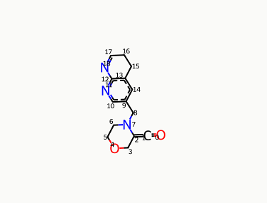 O=C=C1COCCN1Cc1cnc2c(c1)CCC=N2